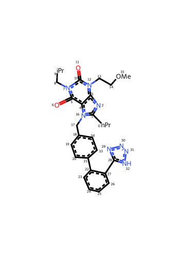 CCCc1nc2c(c(=O)n(CC(C)C)c(=O)n2CCOC)n1Cc1ccc(-c2ccccc2-c2nnn[nH]2)cc1